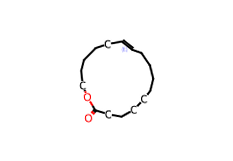 O=C1CCCCCCCC/C=C/CCCCCO1